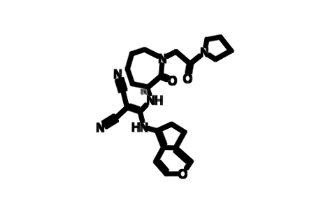 N#CC(C#N)=C(NC1=C2C=COC=C2CC1)N[C@H]1CCCCN(CC(=O)N2CCCC2)C1=O